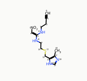 C#CCCNC(=C[N+](=O)[O-])NCCSCc1[nH]cnc1C